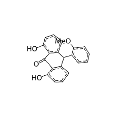 COc1ccccc1C1c2cccc(O)c2C(=O)c2c(O)cccc21